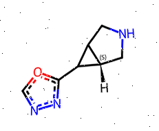 c1nnc(C2C3CNC[C@@H]32)o1